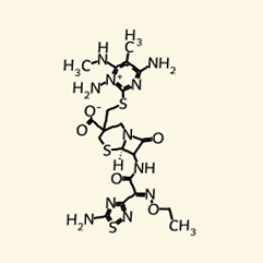 CCON=C(C(=O)NC1C(=O)N2CC(CSc3nc(N)c(C)c(NC)[n+]3N)(C(=O)[O-])CS[C@H]12)c1nsc(N)n1